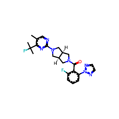 Cc1cnc(N2C[C@H]3CN(C(=O)c4c(F)cccc4-n4nccn4)C[C@H]3C2)nc1C(C)(C)F